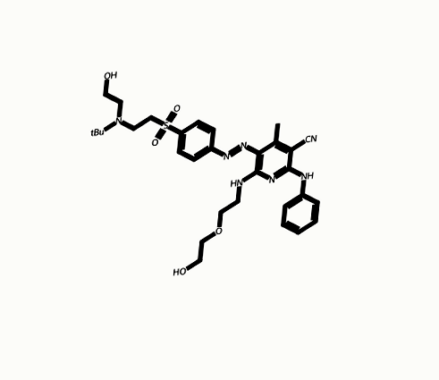 Cc1c(C#N)c(Nc2ccccc2)nc(NCCOCCO)c1/N=N/c1ccc(S(=O)(=O)CCN(CCO)C(C)(C)C)cc1